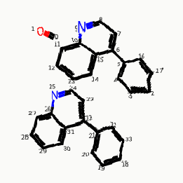 C=O.c1ccc(-c2ccnc3ccccc23)cc1.c1ccc(-c2ccnc3ccccc23)cc1